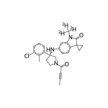 [2H]C([2H])([2H])N1C(=O)C2(CC2)c2ccc(N[C@]3(c4cccc(Cl)c4C)CCN(C(=O)C#CC)C3)cc21